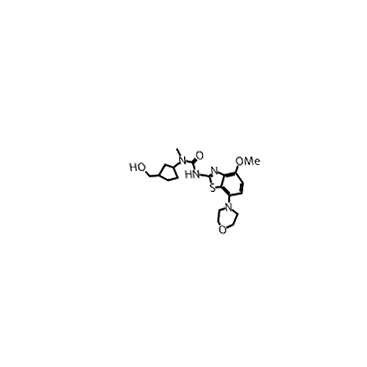 COc1ccc(N2CCOCC2)c2sc(NC(=O)N(C)C3CCC(CO)C3)nc12